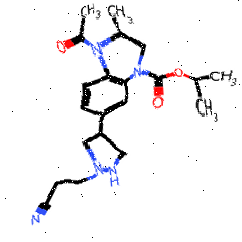 CC(=O)N1c2ccc(C3CNN(CCC#N)C3)cc2N(C(=O)OC(C)C)C[C@@H]1C